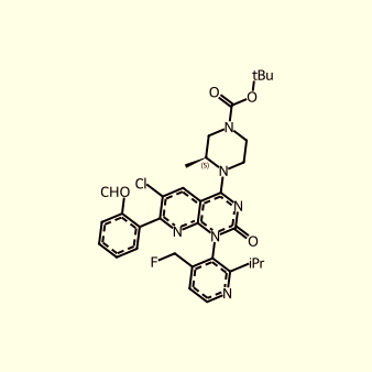 CC(C)c1nccc(CF)c1-n1c(=O)nc(N2CCN(C(=O)OC(C)(C)C)C[C@@H]2C)c2cc(Cl)c(-c3ccccc3C=O)nc21